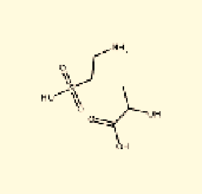 CC(O)C(=O)O.NCCS(=O)(=O)O